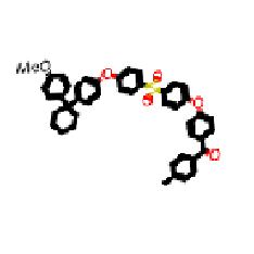 COc1ccc(C2(c3ccc(Oc4ccc(S(=O)(=O)c5ccc(Oc6ccc(C(=O)c7ccc(C)cc7)cc6)cc5)cc4)cc3)CCCCC2)cc1